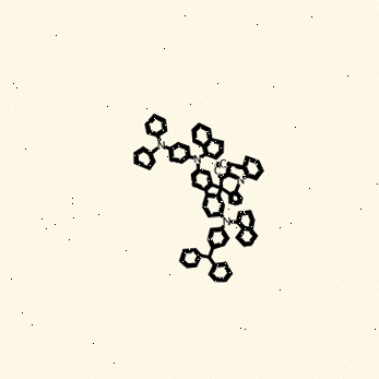 c1ccc(C(c2ccccc2)c2ccc(N(c3ccc4c(c3)C3(c5cc(N(c6ccc(N(c7ccccc7)c7ccccc7)cc6)c6cccc7ccccc67)ccc5-4)c4ccccc4-n4c5ccccc5c5cccc3c54)c3cccc4ccccc34)cc2)cc1